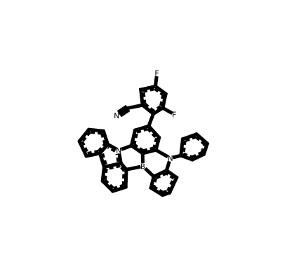 N#Cc1cc(F)cc(F)c1-c1cc2c3c(c1)-n1c4ccccc4c4cccc(c41)B3c1ccccc1N2c1ccccc1